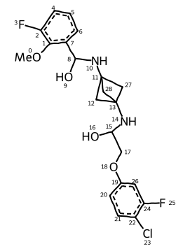 COc1c(F)cccc1C(O)NC12CC(NC(O)COc3ccc(Cl)c(F)c3)(C1)C2